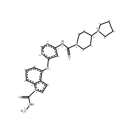 CNC(=O)n1ccc2c(Oc3cc(NC(=O)N4CCC(N5CCCC5)CC4)ncn3)cccc21